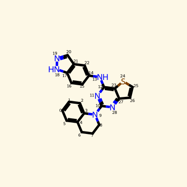 c1ccc2c(c1)CCCN2c1nc(Nc2ccc3[nH]ncc3c2)c2sccc2n1